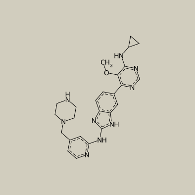 COc1c(NC2CC2)ncnc1-c1ccc2nc(Nc3cc(CN4CCNCC4)ccn3)[nH]c2c1